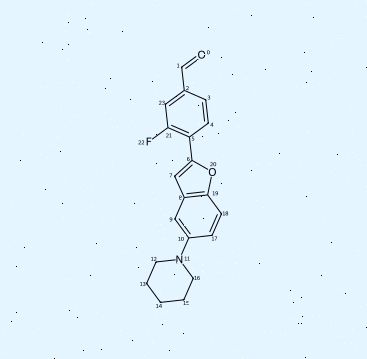 O=Cc1ccc(-c2cc3cc(N4CCCCC4)ccc3o2)c(F)c1